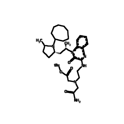 CC1CC[C@@H](C[C@H](C)n2c(=O)c(NCCN(CC(N)=O)CC(=O)OC(C)(C)C)nc3ccccc32)N1C1CCCCCCC1